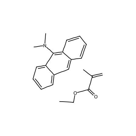 C=C(C)C(=O)OCC.CN(C)c1c2ccccc2cc2ccccc12